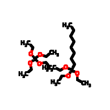 CCCCCCCC[Si](OCC)(OCC)OCC.CCO[Si](OCC)(OCC)OCC